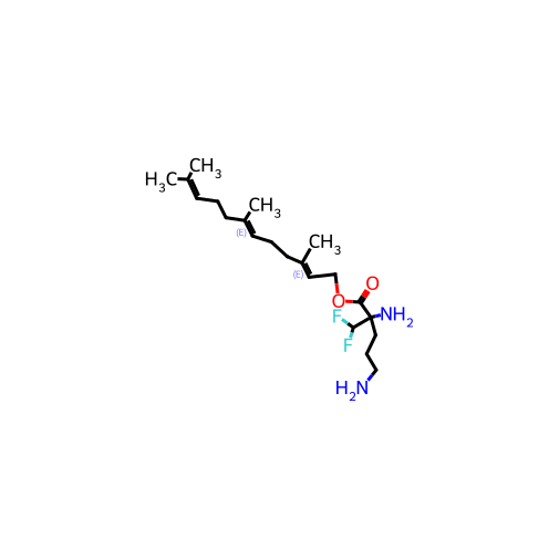 CC(C)=CCC/C(C)=C/CC/C(C)=C/COC(=O)C(N)(CCCN)C(F)F